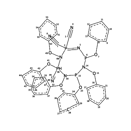 N#CP1(C#N)=NP(Oc2ccccc2)N(Oc2ccccc2)P(Oc2ccccc2)N(Oc2ccccc2)[PH](C#N)(Oc2ccccc2)N1Oc1ccccc1